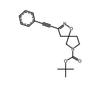 CC(C)(C)OC(=O)N1CCC2(CC(C#Cc3ccccc3)=NO2)C1